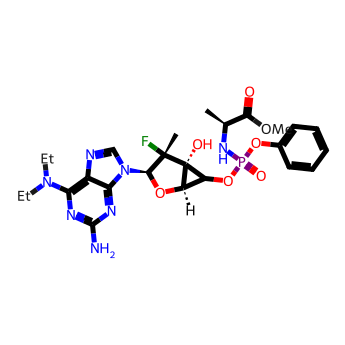 CCN(CC)c1nc(N)nc2c1ncn2[C@@H]1O[C@@H]2C(OP(=O)(N[C@@H](C)C(=O)OC)Oc3ccccc3)[C@]2(O)[C@@]1(C)F